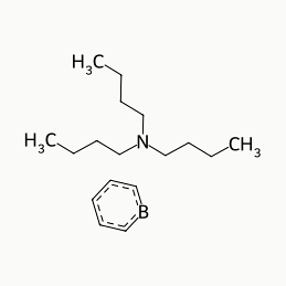 CCCCN(CCCC)CCCC.b1ccccc1